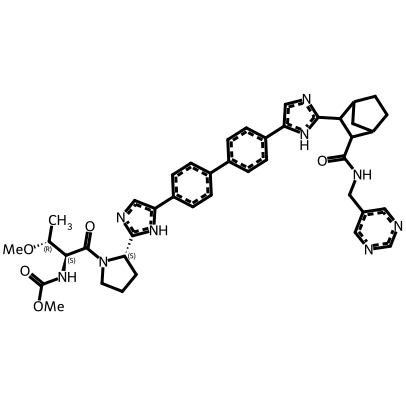 COC(=O)N[C@H](C(=O)N1CCC[C@H]1c1ncc(-c2ccc(-c3ccc(-c4cnc(C5C6CCC(C6)C5C(=O)NCc5cncnc5)[nH]4)cc3)cc2)[nH]1)[C@@H](C)OC